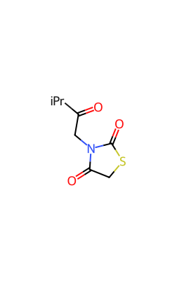 CC(C)C(=O)CN1C(=O)CSC1=O